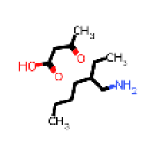 CC(=O)CC(=O)O.CCCCC(CC)CN